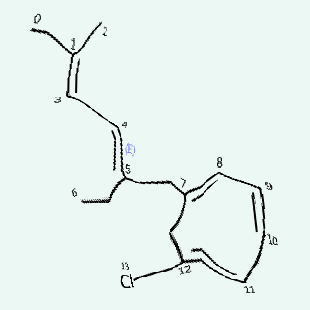 CC(C)=C/C=C(\C)c1ccccc1Cl